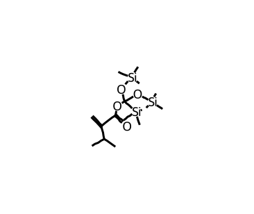 C=C(C(=O)OC(O[Si](C)(C)C)(O[Si](C)(C)C)[Si](C)(C)C)C(C)C